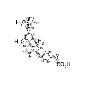 Cc1cc(OCC2(S(C)(=O)=O)CC2)cc(C)c1-c1ccc(F)c2c1CC[C@H]2Oc1ccc([C@H]2C[C@@H]2C(=O)O)cc1